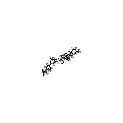 O=C(NCc1cncc(-c2ccc(C(F)(F)F)nc2)c1)C1(NS(=O)(=O)c2cc3cc(F)ccc3o2)CC1